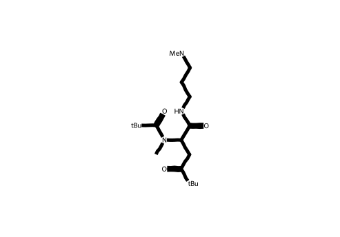 CNCCCNC(=O)C(CC(=O)C(C)(C)C)N(C)C(=O)C(C)(C)C